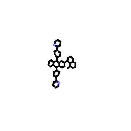 CC1CC=Cc2cccc(C3=CC4=C(c5ccc(-c6ccccn6)cc5)C5=CC=CCC5C(c5ccc(-c6ccccn6)cc5)C4C=C3)c21